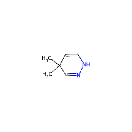 CC1(C)C=CNN=C1